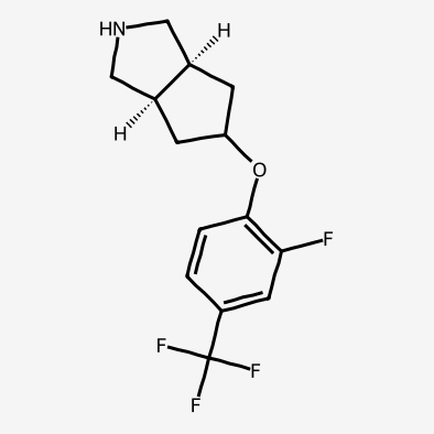 Fc1cc(C(F)(F)F)ccc1OC1C[C@H]2CNC[C@H]2C1